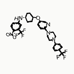 O=[N+]([O-])c1ccc(N[C@H]2CC[C@H](Oc3ccc(N4CCN(c5ccc(C(F)(F)F)cc5)CC4)nc3)CC2)cc1C(F)(F)F